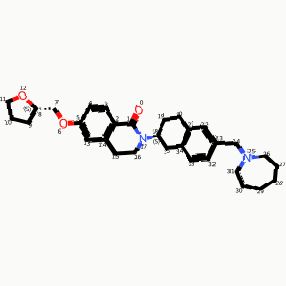 O=C1c2ccc(OC[C@@H]3CCCO3)cc2CCN1[C@H]1CCc2cc(CN3CCCCCC3)ccc2C1